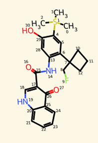 CS(C)(C)c1cc(C2(CF)CCC2)c(NC(=O)c2c[nH]c3ccccc3c2=O)cc1O